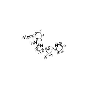 COc1ccccc1Nc1nc(-c2sc(-c3cnccn3)nc2C)cs1